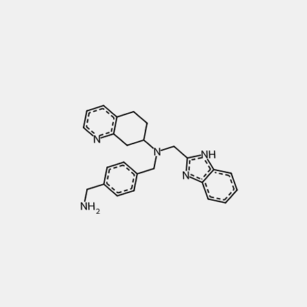 NCc1ccc(CN(Cc2nc3ccccc3[nH]2)C2CCc3cccnc3C2)cc1